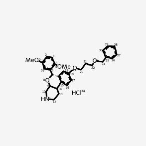 COc1ccc(OC)c(COC2CNCCC2c2ccc(OCCCOCc3ccccc3)cc2)c1.Cl